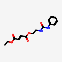 CCOC(=O)/C=C/C(=O)OCCNC(=O)Nc1ccccc1